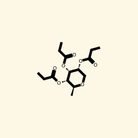 CCC(=O)O[C@@H]1[C@H](OC(=O)CC)[C@H](OC(=O)CC)[CH]O[C@H]1C